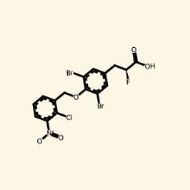 O=C(O)[C@@H](F)Cc1cc(Br)c(OCc2cccc([N+](=O)[O-])c2Cl)c(Br)c1